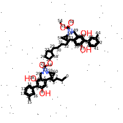 CCCCCc1cc(O)c(-c2cccc(C)c2)c(O)c1CN(C(=O)OC1CCC(CCCCCc2cc(O)c(-c3cccc(C)c3)c(O)c2CN(C(=O)OC)C2CC2)C1)C1CC1